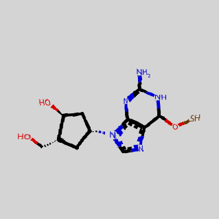 NC1=Nc2c(ncn2[C@@H]2C[C@H](CO)[C@@H](O)C2)C(OS)N1